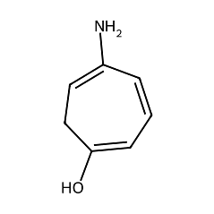 NC1=CCC(O)=CC=C1